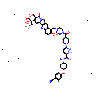 CC[C@@]1(O)C(=O)OCc2c1cc1n(c2=O)Cc2cc3c(CN4CCN(C(=O)C5CCN(C6=CC=C(C(=O)N[C@H]7CC[C@H](Oc8ccc(C#N)c(Cl)c8)CC7)NN6)CC5)CC4)c(O)ccc3nc2-1